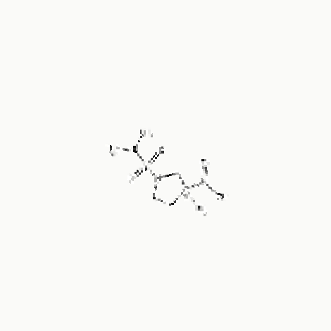 CN(C)S(=O)(=O)N1CC[C@](N)(C(=O)O)C1